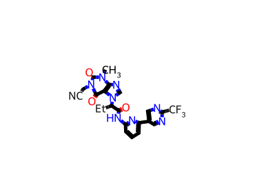 CCC(C(=O)Nc1cccc(-c2cnc(C(F)(F)F)nc2)n1)n1cnc2c1c(=O)n(CC#N)c(=O)n2C